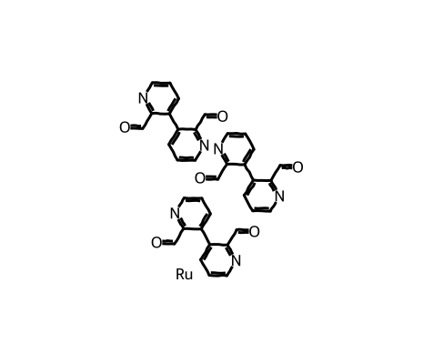 O=Cc1ncccc1-c1cccnc1C=O.O=Cc1ncccc1-c1cccnc1C=O.O=Cc1ncccc1-c1cccnc1C=O.[Ru]